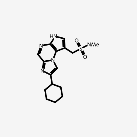 CNS(=O)(=O)Cc1c[nH]c2ncc3nc(C4CCCCC4)cn3c12